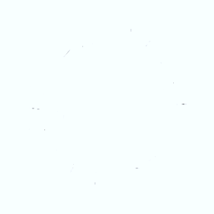 CC1CC/C=C\C=C\CCC(O)CC(=O)CC2CCC(C)C3(OCOC3C(=O)OC(C)CC/C=C\C=C\CCC(O)CC(=O)CC3CCC(C)C4(OBOC4C(=O)O1)O3)O2